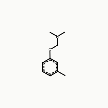 Cc1cccc(OCN(C)C)c1